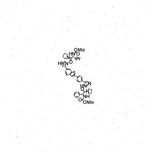 COC(=O)N[C@H](C(=O)N1CCC[C@H]1C1=NC(c2ccc3cc(-c4ccc(-c5cnc([C@@H]6CCCN6C(=O)[C@H](NC(=O)OC)c6ccccc6)[nH]5)cc4)sc3c2)CN1)C(C)C